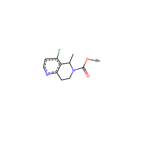 CC1c2c(F)ccnc2CCN1C(=O)OC(C)(C)C